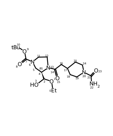 CCOC(O)[C@H]1CN(C(=O)OC(C)(C)C)CCN1C(=O)CC1CCN(C(N)=O)CC1